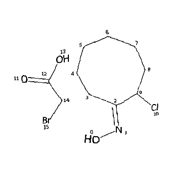 O/N=C1\CCCCCCC1Cl.O=C(O)CBr